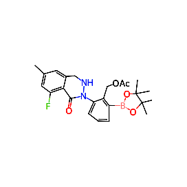 CC(=O)OCc1c(B2OC(C)(C)C(C)(C)O2)cccc1N1NCc2cc(C)cc(F)c2C1=O